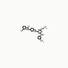 O=C(Nc1ccc(CNc2nc(Nc3cccc(C(F)(F)F)c3)nc(OCC(F)(F)F)n2)cc1)c1cccc(Cl)c1